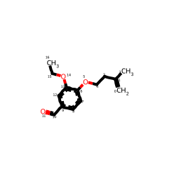 C=C(C)CCOc1ccc(C=O)cc1OCC